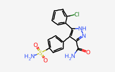 NC(=O)c1n[nH]c(-c2ccccc2Cl)c1-c1ccc(S(N)(=O)=O)cc1